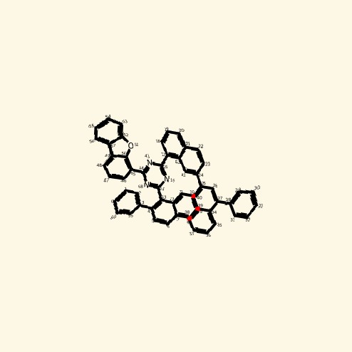 c1ccc(-c2ccc3ccccc3c2-c2nc(-c3cccc4ccc(-c5cc(-c6ccccc6)c6ccccc6c5)cc34)nc(-c3cccc4c3oc3ccccc34)n2)cc1